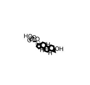 C[C@]12CC[C@@H]3[C@H]4CC[C@]5(O)CC5[C@H]4CC[C@H]3[C@@H]1CC[C@@H]2C(=O)CS(=O)(=O)O